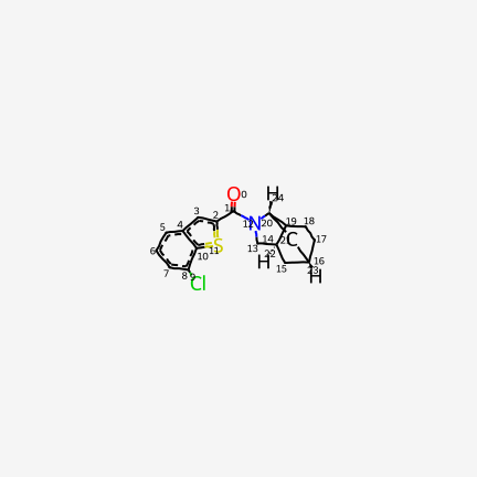 O=C(c1cc2cccc(Cl)c2s1)N1C[C@@H]2C[C@H]3CCC2[C@@H]1C3